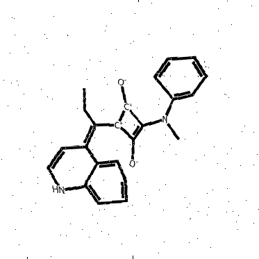 CCC(=C1C=CNc2ccccc21)[c+]1c([O-])c(N(C)c2ccccc2)[c+]1[O-]